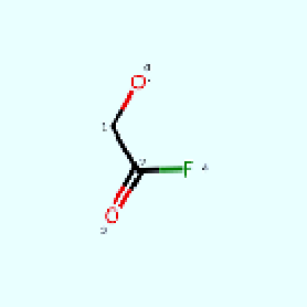 [O]CC(=O)F